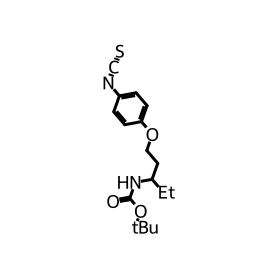 CCC(CCOc1ccc(N=C=S)cc1)NC(=O)OC(C)(C)C